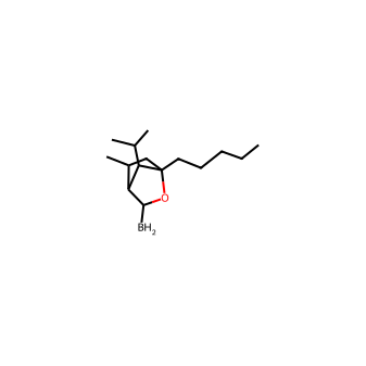 BC1OC2(CCCCC)CC(C)C1C2C(C)C